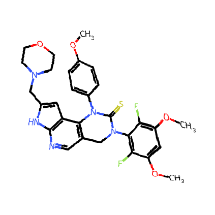 COc1ccc(N2C(=S)N(c3c(F)c(OC)cc(OC)c3F)Cc3cnc4[nH]c(CN5CCOCC5)cc4c32)cc1